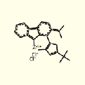 CC1=C(c2c3c(ccc2=C(C)C)=c2ccccc2=[C]3[Zr+2])CC(C(C)(C)C)=C1.[Cl-].[Cl-]